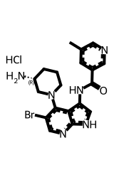 Cc1cncc(C(=O)Nc2c[nH]c3ncc(Br)c(N4CCC[C@@H](N)C4)c23)c1.Cl